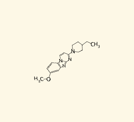 CCC1CCN(c2ccn3c(n2)nc2cc(OC)ccc23)CC1